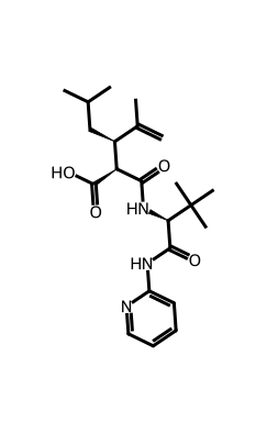 C=C(C)[C@H](CC(C)C)[C@H](C(=O)O)C(=O)N[C@H](C(=O)Nc1ccccn1)C(C)(C)C